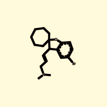 CN(C)C/C=C/C1c2cc(Br)ccc2OC12CCCCCC2